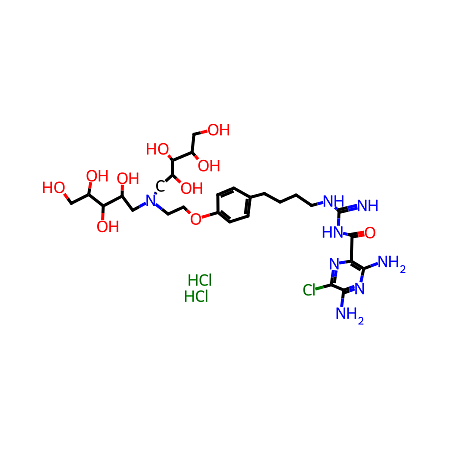 Cl.Cl.N=C(NCCCCc1ccc(OCCN(CC(O)C(O)C(O)CO)CC(O)C(O)C(O)CO)cc1)NC(=O)c1nc(Cl)c(N)nc1N